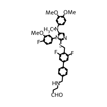 COc1cc(-n2c(N(C)c3ccc(OC)c(OC)c3)cnc2SCc2c(F)cc(-c3ccc(CNCCC=O)cc3)cc2F)ccc1F